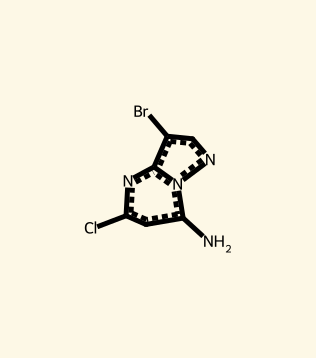 Nc1cc(Cl)nc2c(Br)cnn12